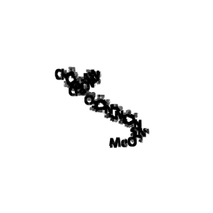 COC1CN(C)C(=Nc2ccc(N3CCN(c4ccc(OC[C@@H]5CO[C@@](Cn6cncn6)(c6ccc(Cl)cc6Cl)O5)cc4)CC3)cc2)S1